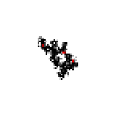 CCn1c(C2=C([C@H](C)OC)N=CC(N3CCN4CCOC[C@@H]4C3)C2)c2c3cc(ccc31)-c1cc(CF)cc(c1)C[C@H](NC(=O)[C@H](C1CCCC1)N1CC[C@]3(CCN(C(=O)OC(C)(C)C)C3)C1)C(=O)N1CCC[C@H](N1)C(=O)OCC(C)(C)C2